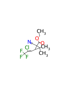 CCOC(=O)C1(C#N)C(/C=C(\Cl)C(F)(F)F)C1(C)C